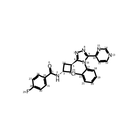 O=C(N[C@H]1C[C@H](c2nnc(-c3ccncn3)n2-c2ccccc2Cl)C1)c1ccc(F)cc1